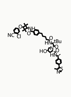 Cc1ncsc1-c1ccc([C@H](C)NC(=O)[C@@H]2C[C@@H](O)CN2C(=O)[C@@H](NC(=O)CCCCc2ccc(C(=O)NC3C(C)(C)C(Oc4ccc(C#N)c(Cl)c4)C3(C)C)cc2)C(C)(C)C)cc1